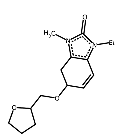 CCn1c2c(n(C)c1=O)CC(OCC1CCCO1)C=C2